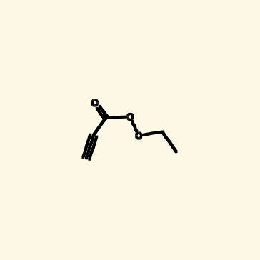 C#CC(=O)OOCC